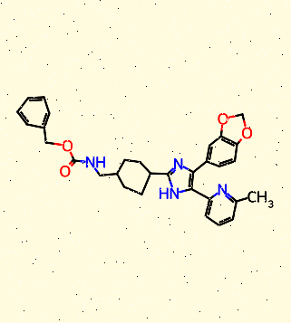 Cc1cccc(-c2[nH]c(C3CCC(CNC(=O)OCc4ccccc4)CC3)nc2-c2ccc3c(c2)OCO3)n1